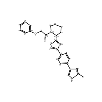 Cc1nc(-c2ccc(-c3noc([C@H]4CCCCN4C(=O)COc4ccccc4)n3)cc2)c[nH]1